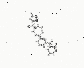 Cc1cc(C(=O)N2CCCN(c3cccc(C(=O)c4cccnc4C)n3)CC2)no1